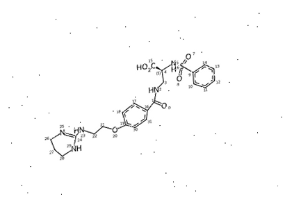 O=C(NC[C@H](NS(=O)(=O)c1ccccc1)C(=O)O)c1ccc(OCCNC2=NCCCN2)cc1